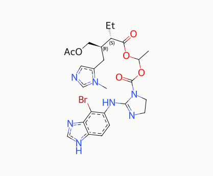 CC[C@H](C(=O)OC(C)OC(=O)N1CCN=C1Nc1ccc2[nH]cnc2c1Br)[C@H](COC(C)=O)Cc1cncn1C